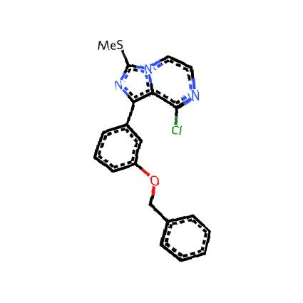 CSc1nc(-c2cccc(OCc3ccccc3)c2)c2c(Cl)nccn12